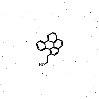 OCCc1ccc2ccc3cccc4c5ccccc5c1c2c34